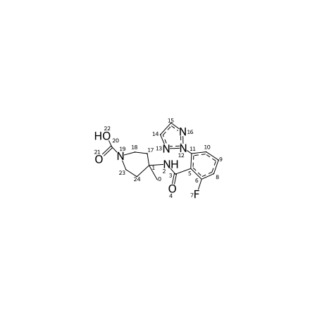 CC1(NC(=O)c2c(F)cccc2-n2nccn2)CCN(C(=O)O)CC1